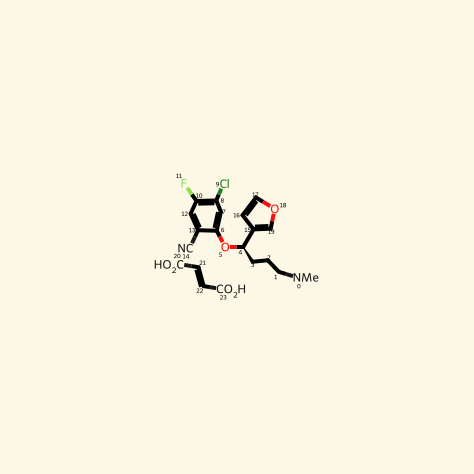 CNCCC[C@@H](Oc1cc(Cl)c(F)cc1C#N)c1ccoc1.O=C(O)C=CC(=O)O